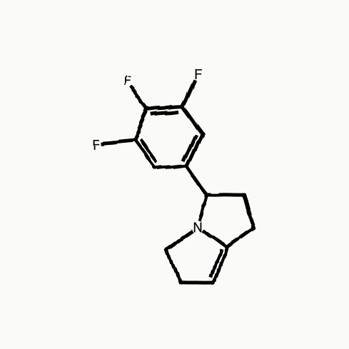 Fc1cc(C2CCC3=CCCN32)cc(F)c1F